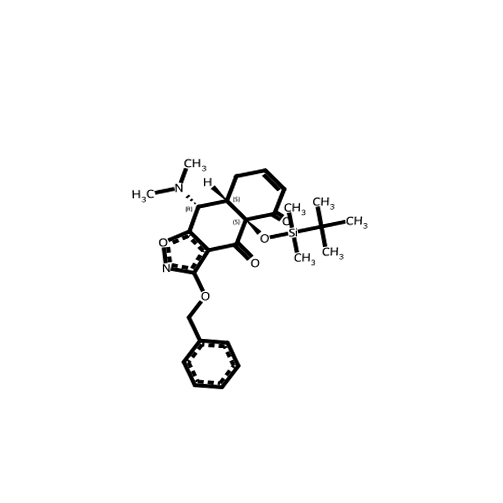 CN(C)[C@H]1c2onc(OCc3ccccc3)c2C(=O)[C@@]2(O[Si](C)(C)C(C)(C)C)C(=O)C=CC[C@@H]12